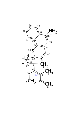 C=C/C(C)=C(\C=C)C(C)(C)C1(C)C=Cc2cc(N)c3ccccc3c2S1